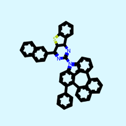 c1ccc(-c2ccc3c4c2-c2cccc5cccc(c25)-c2cccc(c24)n3C2=NC3c4ccccc4SC3C(c3ccc4ccccc4c3)=N2)cc1